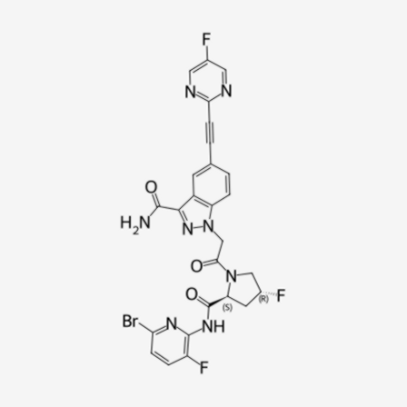 NC(=O)c1nn(CC(=O)N2C[C@H](F)C[C@H]2C(=O)Nc2nc(Br)ccc2F)c2ccc(C#Cc3ncc(F)cn3)cc12